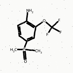 CP(C)(=O)c1ccc(N)c(OC(F)(F)F)c1